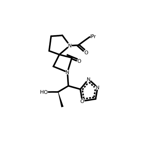 CC(C)C(=O)N1CCCC12CN(C(c1nnco1)[C@@H](C)O)C2=O